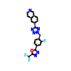 Fc1cc(-c2nnc(C(F)F)o2)ccc1Cn1nnc(-c2ccc3cnccc3c2)n1